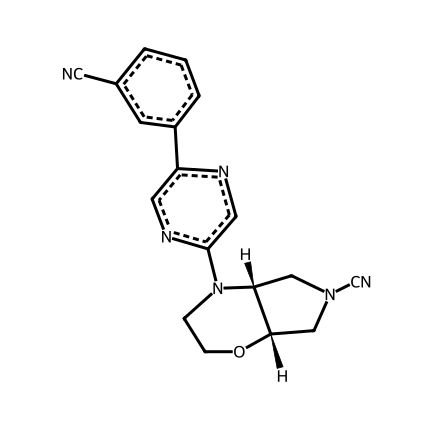 N#Cc1cccc(-c2cnc(N3CCO[C@H]4CN(C#N)C[C@H]43)cn2)c1